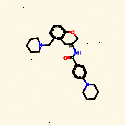 O=C(N[C@@H]1COc2cccc(CN3CCCCC3)c2C1)c1ccc(N2CCCCC2)cc1